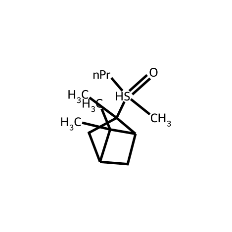 CCC[SH](C)(=O)C1(C)CC2CC1C2(C)C